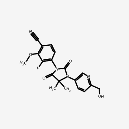 COc1c(C#N)ccc(N2C(=O)N(c3ccc(CO)nc3)C(C)(C)C2=O)c1F